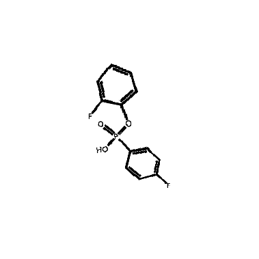 O=P(O)(Oc1ccccc1F)c1ccc(F)cc1